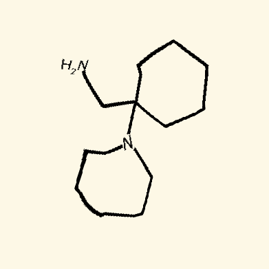 NCC1(N2CCCCC2)CCCCC1